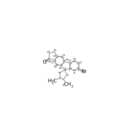 CCCC1(CCC)c2cc(Br)ccc2-c2cc3c(cc21)C(=O)CC3